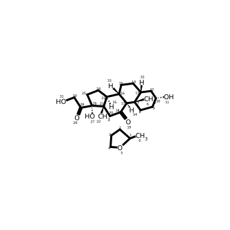 CC1CCCO1.C[C@]12CC[C@@H](O)C[C@H]1CC[C@@H]1[C@@H]2C(=O)C[C@@]2(C)[C@H]1CC[C@]2(O)C(=O)CO